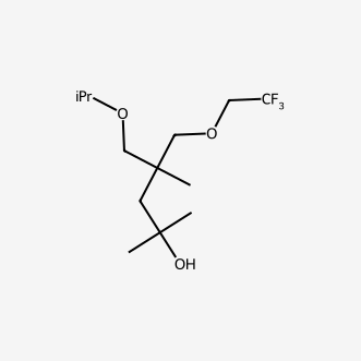 CC(C)OCC(C)(COCC(F)(F)F)CC(C)(C)O